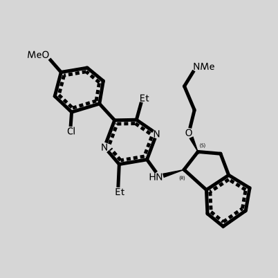 CCc1nc(-c2ccc(OC)cc2Cl)c(CC)nc1N[C@@H]1c2ccccc2C[C@@H]1OCCNC